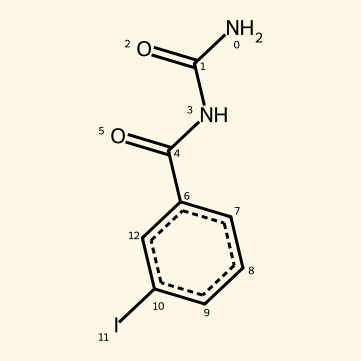 NC(=O)NC(=O)c1cccc(I)c1